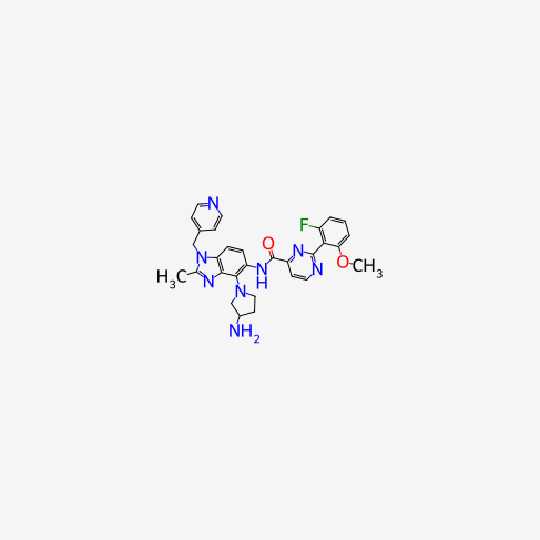 COc1cccc(F)c1-c1nccc(C(=O)Nc2ccc3c(nc(C)n3Cc3ccncc3)c2N2CCC(N)C2)n1